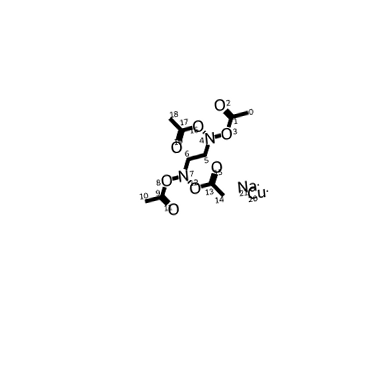 CC(=O)ON(CCN(OC(C)=O)OC(C)=O)OC(C)=O.[Cu].[Na]